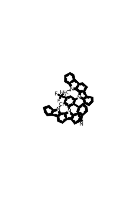 Cn1c2ccccc2c2ccc3c4ccccc4n(-c4cc(C(F)(F)F)cc(-n5c6ccccc6c6ccc7c8ccccc8n(C)c7c65)c4-c4cccc(C#N)c4)c3c21